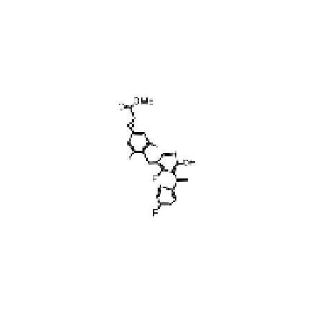 C=C(c1ccc(F)cc1)c1c(O)ccc(Cc2c(C)cc(OCC(=O)OC)cc2C)c1F